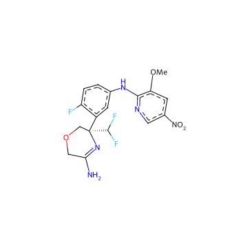 COc1cc([N+](=O)[O-])cnc1Nc1ccc(F)c([C@]2(C(F)F)COCC(N)=N2)c1